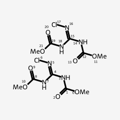 COC(=O)NC(=NCl)NC(=O)OC.COC(=O)NC(=NCl)NC(=O)OC